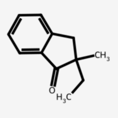 CCC1(C)Cc2ccccc2C1=O